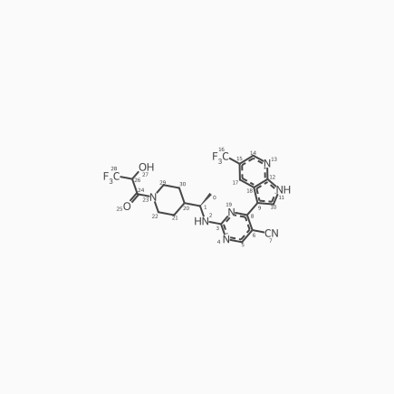 C[C@@H](Nc1ncc(C#N)c(-c2c[nH]c3ncc(C(F)(F)F)cc23)n1)C1CCN(C(=O)C(O)C(F)(F)F)CC1